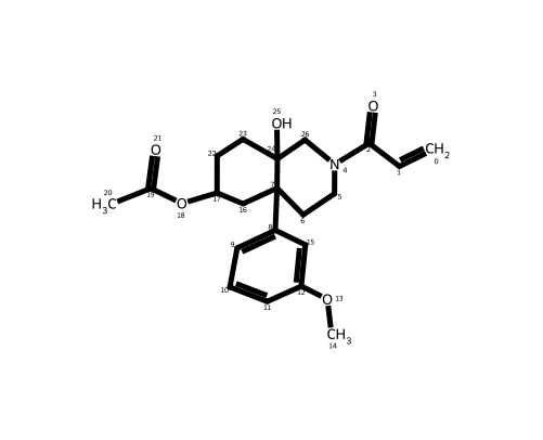 C=CC(=O)N1CCC2(c3cccc(OC)c3)CC(OC(C)=O)CCC2(O)C1